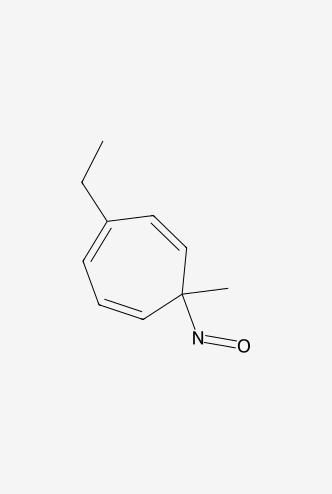 CCC1=CC=CC(C)(N=O)C=C1